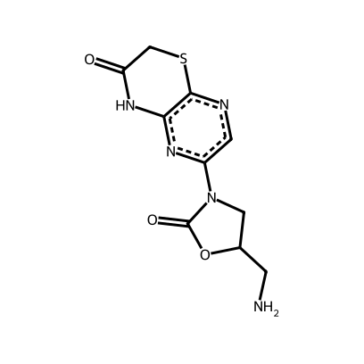 NCC1CN(c2cnc3c(n2)NC(=O)CS3)C(=O)O1